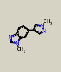 Cn1cc(-c2ccc3ncn(C)c3c2)cn1